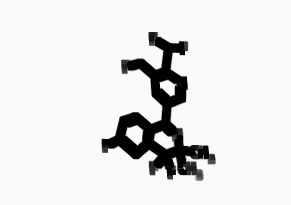 CC1(C)N=C(c2cnc(C(F)F)c(CF)c2)c2ccc(F)cc2C1(F)F